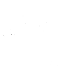 O=[N+]([O-])[O-].[Cu+].c1ccc(P(CCP(c2ccccc2)c2ccccc2)c2ccccc2)cc1.c1ccc(P(CCP(c2ccccc2)c2ccccc2)c2ccccc2)cc1